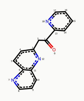 O=C(Cc1ccc2ncccc2n1)c1ccccn1